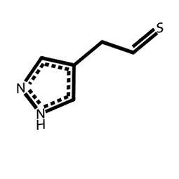 S=CCc1cn[nH]c1